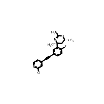 C[C@@]1(c2cc(C#Cc3ccnc(Cl)c3)ccc2F)C[C@@H](C(F)(F)F)OC(N)=N1